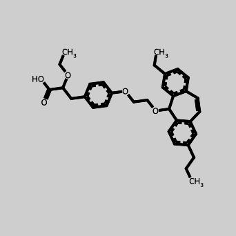 CCCc1ccc2c(c1)C=Cc1ccc(CC)cc1C2OCCOc1ccc(CC(OCC)C(=O)O)cc1